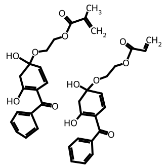 C=C(C)C(=O)OCCOC1(O)C=CC(C(=O)c2ccccc2)=C(O)C1.C=CC(=O)OCCOC1(O)C=CC(C(=O)c2ccccc2)=C(O)C1